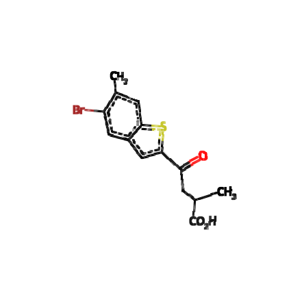 Cc1cc2sc(C(=O)CC(C)C(=O)O)cc2cc1Br